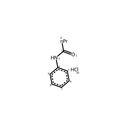 CCCC(=O)Nc1ccccc1.Cl